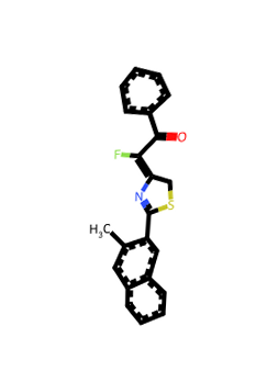 Cc1cc2ccccc2cc1C1=NC(=C(F)C(=O)c2ccccc2)CS1